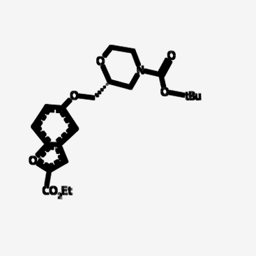 CCOC(=O)c1cc2cc(OC[C@H]3CN(C(=O)OC(C)(C)C)CCO3)ccc2o1